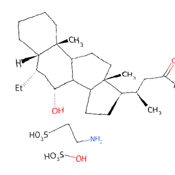 CC[C@H]1[C@@H](O)C2C3CC[C@H]([C@H](C)C[C](=O)[Na])[C@@]3(C)CCC2[C@@]2(C)CCCC[C@@H]12.NCCS(=O)(=O)O.O=S(=O)(O)O